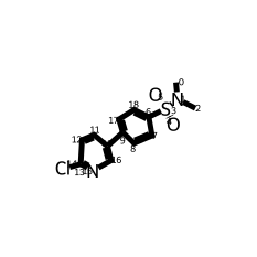 CN(C)S(=O)(=O)c1ccc(-c2ccc(Cl)nc2)cc1